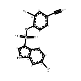 N#Cc1ccc(NS(=O)(=O)c2c[nH]c3cc(Br)ccc23)c(F)c1